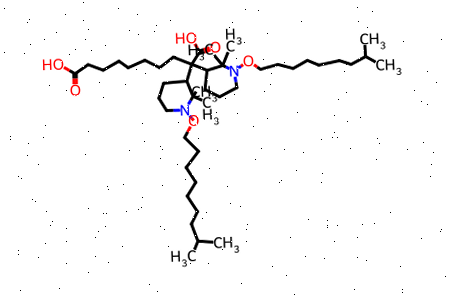 CC(C)CCCCCCCON1CCCC(C(CCCCCCCC(=O)O)(C(=O)O)C2CCCN(OCCCCCCCC(C)C)C2(C)C)C1(C)C